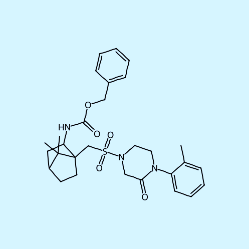 Cc1ccccc1N1CCN(S(=O)(=O)CC23CCC(CC2NC(=O)OCc2ccccc2)C3(C)C)CC1=O